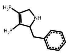 PC1=C(P)C(Cc2ccccc2)NC1